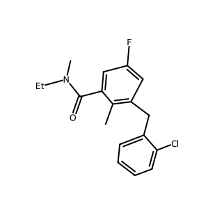 CCN(C)C(=O)c1cc(F)cc(Cc2ccccc2Cl)c1C